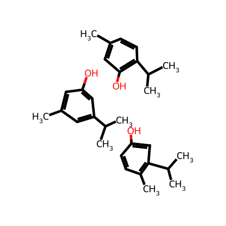 Cc1cc(O)cc(C(C)C)c1.Cc1ccc(C(C)C)c(O)c1.Cc1ccc(O)cc1C(C)C